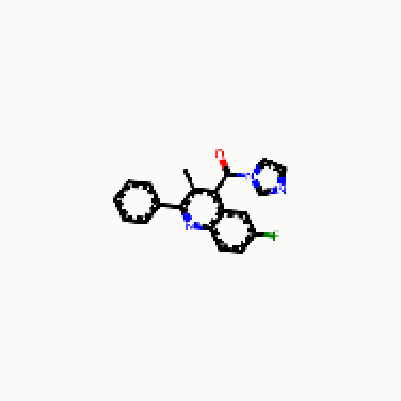 Cc1c(-c2ccccc2)nc2ccc(F)cc2c1C(=O)n1ccnc1